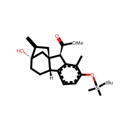 C=C1C[C@]23C[C@@]1(O)CC[C@H]2c1ccc(O[Si](C)(C)C(C)(C)C)c(C)c1[C@@H]3C(=O)OC